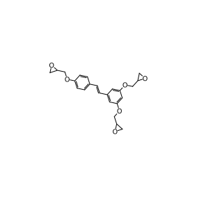 C(=Cc1cc(OCC2CO2)cc(OCC2CO2)c1)c1ccc(OCC2CO2)cc1